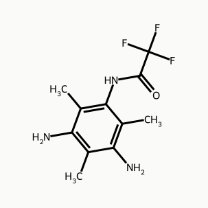 Cc1c(N)c(C)c(NC(=O)C(F)(F)F)c(C)c1N